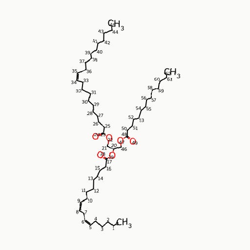 CCCCC/C=C\C/C=C\CCCCCCCC(=O)O[C@@H](COC(=O)CCCCCCCCC/C=C\CCCCCCCCCC)COC(=O)CCCCCCCCCCCCC